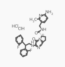 Cc1nc(N)ccc1CNC(=O)[C@@H]1CCc2cnc(NCC(c3ccccc3F)c3ccccc3F)c(=O)n21.Cl.Cl